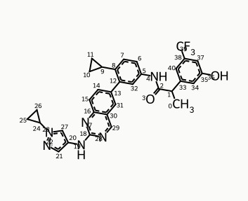 CC(C(=O)Nc1ccc(C2CC2)c(-c2ccc3nc(Nc4cnn(C5CC5)c4)ncc3c2)c1)c1cc(O)cc(C(F)(F)F)c1